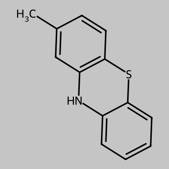 Cc1ccc2c(c1)Nc1ccccc1S2